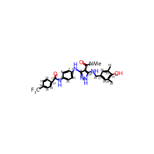 CNC(=O)c1c(Nc2ccc(NC(=O)c3ccc(C(F)(F)F)cc3)cc2)n[nH]c1NCc1cc(C)c(O)c(C)c1